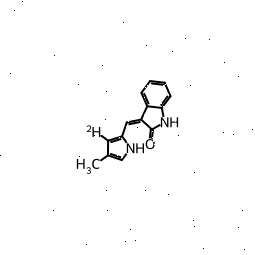 [2H]c1c(C)c[nH]c1C=C1C(=O)Nc2ccccc21